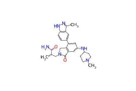 C=C(CN1Cc2c(cc(NC3CCN(C)CC3)cc2-c2ccc3[nH]nc(C)c3c2)C1=O)C(N)=O